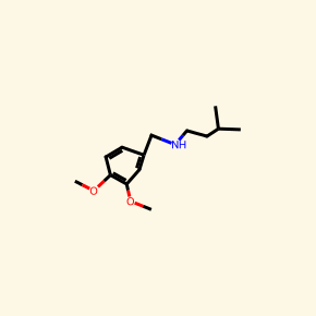 COc1ccc(CNCCC(C)C)cc1OC